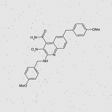 COc1ccc(CNc2nc3ccc(Cc4ccc(OC)cc4)cc3c(C(N)=O)c2[N+](=O)[O-])cc1